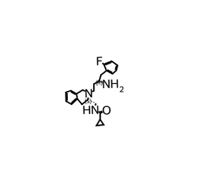 N[C@@H](CCN1Cc2ccccc2C[C@H]1CNC(=O)C1CC1)Cc1ccccc1F